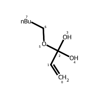 C=CC(O)(O)OCCCCC